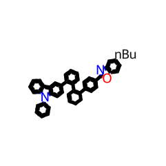 CCCCc1ccc2oc(-c3ccc(C4=C(c5ccccc5-c5ccc6c(c5)c5ccccc5n6-c5ccccc5)C=CCC4)cc3)nc2c1